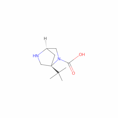 CC(C)(C)[C@]12CN[C@@H](CN1C(=O)O)C2